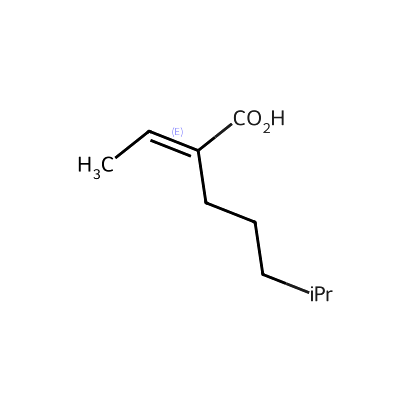 C/C=C(\CCCC(C)C)C(=O)O